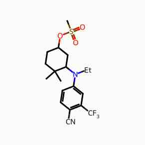 CCN(c1ccc(C#N)c(C(F)(F)F)c1)C1CC(OS(C)(=O)=O)CCC1(C)C